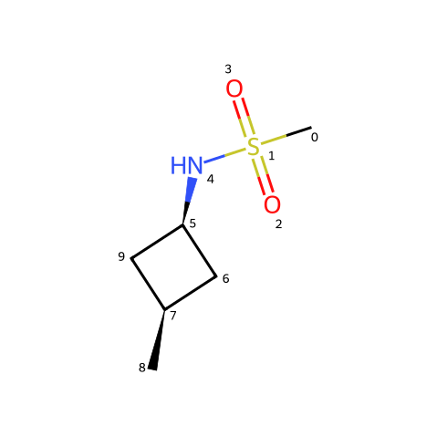 CS(=O)(=O)N[C@H]1C[C@@H](C)C1